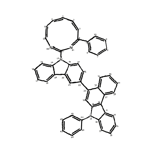 c1cccc(-c2ccccc2)nc(-n2c3ccccc3c3cc(-c4cc5c(c6ccccc46)c4ccccc4n5-c4ccccc4)ccc32)ncc1